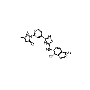 Cc1cc(=O)n(-c2cc(-c3nsc(Nc4ccc5[nH]ncc5c4Cl)n3)ccn2)n1C